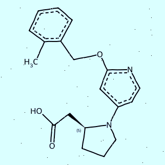 Cc1ccccc1COc1cc(N2CCC[C@H]2CC(=O)O)ccn1